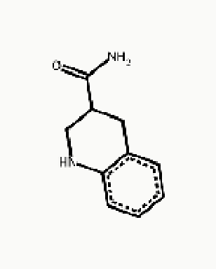 NC(=O)C1CNc2ccccc2C1